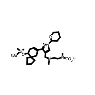 CN(CCN(C)C(=O)O)Cc1cn(C2CCCCO2)nc1C1=CCC(O[Si](C)(C)C(C)(C)C)C2(CCCC2)C1